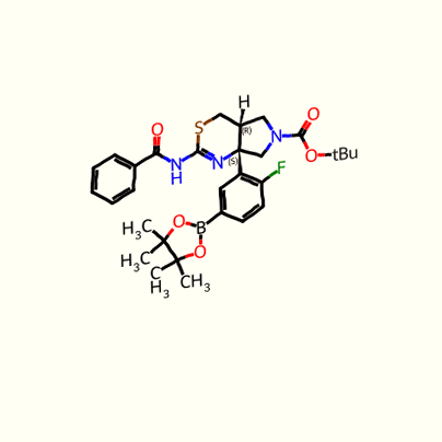 CC(C)(C)OC(=O)N1C[C@H]2CSC(NC(=O)c3ccccc3)=N[C@@]2(c2cc(B3OC(C)(C)C(C)(C)O3)ccc2F)C1